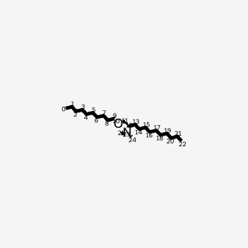 CCCCCCCCCCOC[C@@H](CCCCCCCCCC)N(C)C